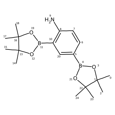 CC1(C)OB(c2ccc(N)c(B3OC(C)(C)C(C)(C)O3)c2)OC1(C)C